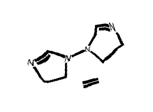 C1=NCCN1N1C=NCC1.C=C